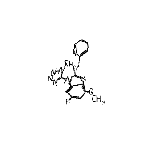 COc1cc(F)cc2c1nc(OCc1ccccn1)n2-c1nnnn1C